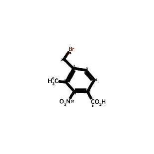 Cc1c(CBr)ccc(C(=O)O)c1[N+](=O)[O-]